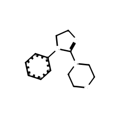 c1ccc(N2CCN=C2N2CCNCC2)cc1